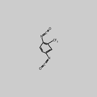 O=C=Nc1ccc(N=C=O)c(C(F)(F)F)c1